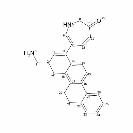 NCC1C=C(C2=CNCC(=O)C=C2)c2ccc3c(c2C1)CCc1ccccc1-3